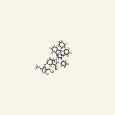 Cc1nc(C2CC2)n(Cc2ccc3oc(-c4ccccc4-c4nnn(C(c5ccccc5)(c5ccccc5)c5ccccc5)n4)c(Br)c3c2)c1C=O